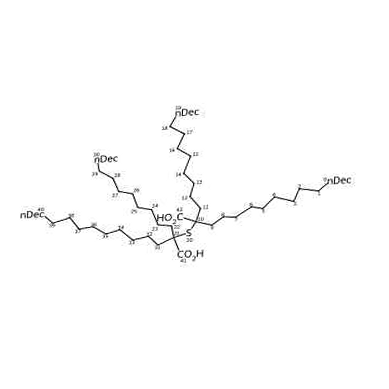 CCCCCCCCCCCCCCCCCCCC(CCCCCCCCCCCCCCCCCC)(SC(CCCCCCCCCCCCCCCCCC)(CCCCCCCCCCCCCCCCCCC)C(=O)O)C(=O)O